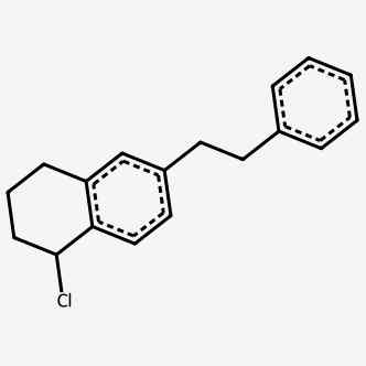 ClC1CCCc2cc(CCc3ccccc3)ccc21